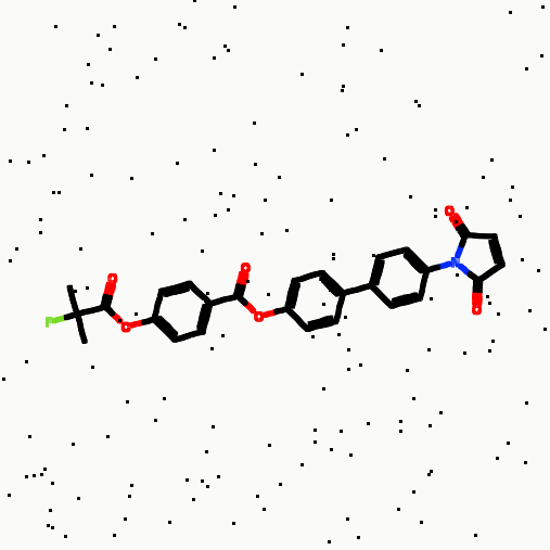 CC(C)(F)C(=O)Oc1ccc(C(=O)Oc2ccc(-c3ccc(N4C(=O)C=CC4=O)cc3)cc2)cc1